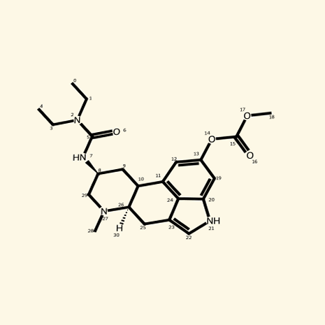 CCN(CC)C(=O)N[C@H]1CC2c3cc(OC(=O)OC)cc4[nH]cc(c34)C[C@H]2N(C)C1